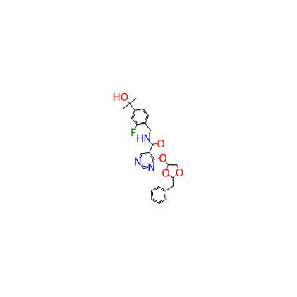 CC(C)(O)c1ccc(CNC(=O)c2cncnc2OC2=COC(Cc3ccccc3)O2)c(F)c1